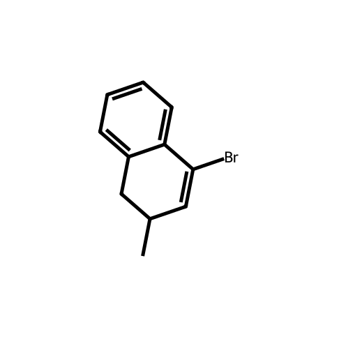 CC1C=C(Br)c2ccccc2C1